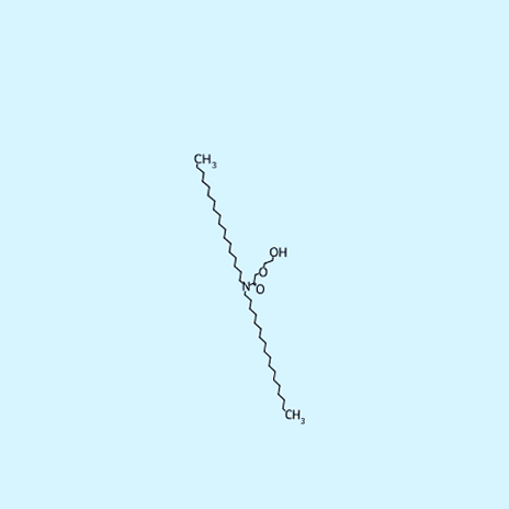 CCCCCCCCCCCCCCCCCCN(CCCCCCCCCCCCCCCCCC)C(=O)COCCO